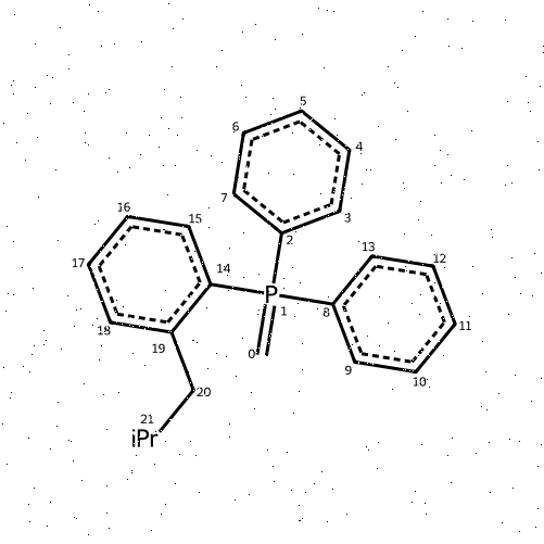 C=P(c1ccccc1)(c1ccccc1)c1ccccc1CC(C)C